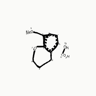 COc1cccc2c1OCCC2.O=C(O)O